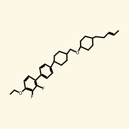 C/C=C/CCC1CCC(OCC2CCC(c3ccc(-c4ccc(OCC)c(F)c4F)cc3)CC2)CC1